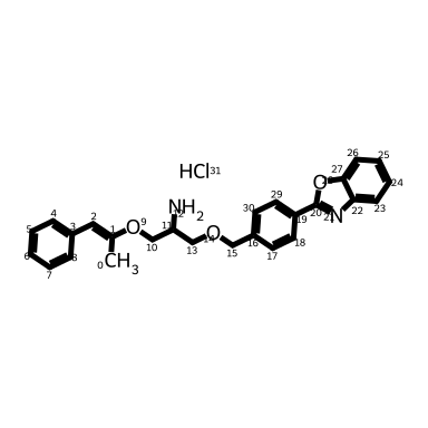 C/C(=C\c1ccccc1)OCC(N)COCc1ccc(-c2nc3ccccc3o2)cc1.Cl